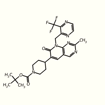 Cc1ncc2cc(C3CCN(C(=O)OC(C)(C)C)CC3)c(=O)n(Cc3nccnc3C(F)(F)F)c2n1